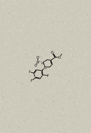 COC(=O)C1=CC[C@@H](c2cc(F)c(F)cc2F)[C@H]([N+](=O)[O-])C1